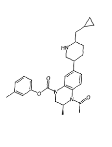 CC(=O)N1c2ccc(C3CCC(CC4CC4)NC3)cc2N(C(=O)Oc2cccc(C)c2)C[C@@H]1C